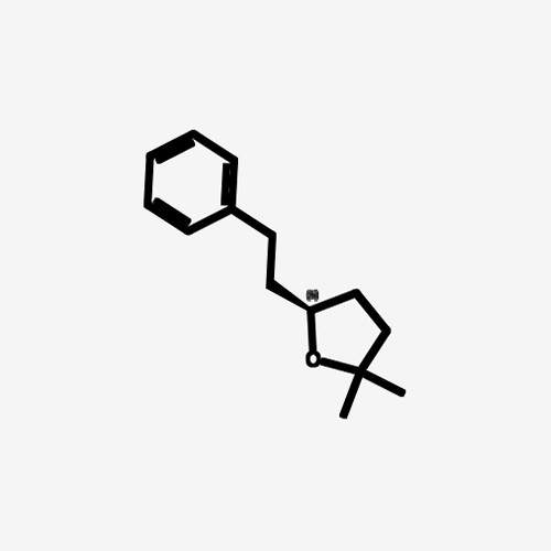 CC1(C)CC[C@H](CCc2ccccc2)O1